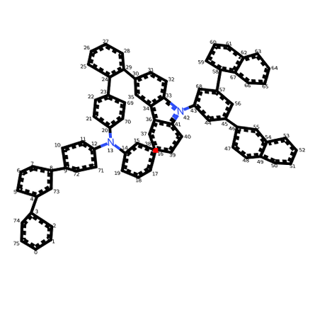 c1ccc(-c2cccc(-c3ccc(N(c4ccccc4)c4ccc(-c5ccccc5-c5ccc6c(c5)c5ccccc5n6-c5cc(-c6ccc7ccccc7c6)cc(-c6cccc7ccccc67)c5)cc4)cc3)c2)cc1